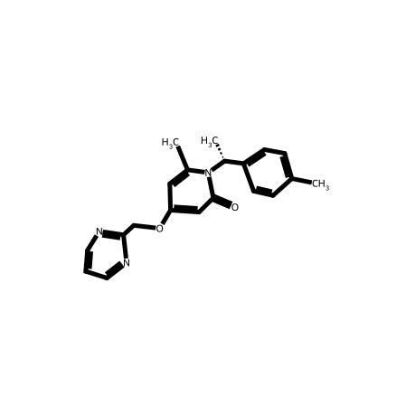 Cc1ccc([C@@H](C)n2c(C)cc(OCc3ncccn3)cc2=O)cc1